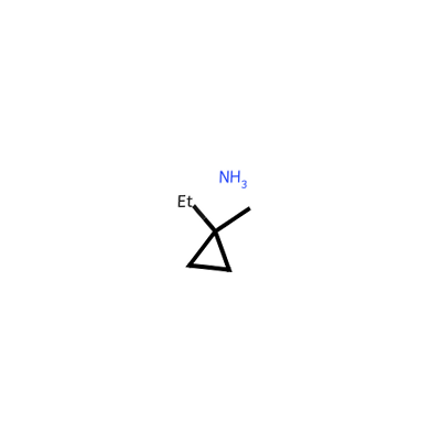 CCC1(C)CC1.N